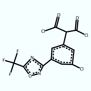 O=C(Cl)C(C(=O)Cl)c1cc(Cl)cc(-c2noc(C(F)(F)F)n2)c1